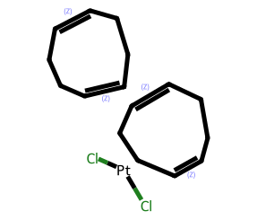 C1=C\CC/C=C\CC/1.C1=C\CC/C=C\CC/1.[Cl][Pt][Cl]